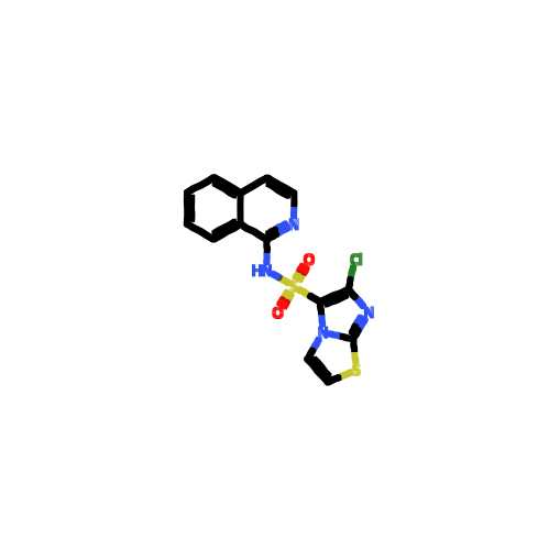 O=S(=O)(Nc1nccc2ccccc12)c1c(Cl)nc2sccn12